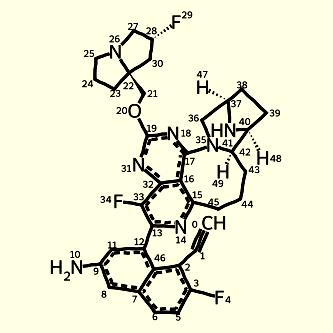 C#Cc1c(F)ccc2cc(N)cc(-c3nc4c5c(nc(OC[C@@]67CCCN6C[C@H](F)C7)nc5c3F)N3C[C@H]5CC[C@H](N5)[C@H]3CCC4)c12